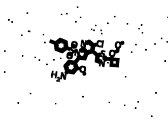 COCOC1(c2ncc(-c3c(Cl)cnc4c3cc(-c3ccc(N)cc3OC)n4S(=O)(=O)c3ccc(C)cc3)s2)CCC1